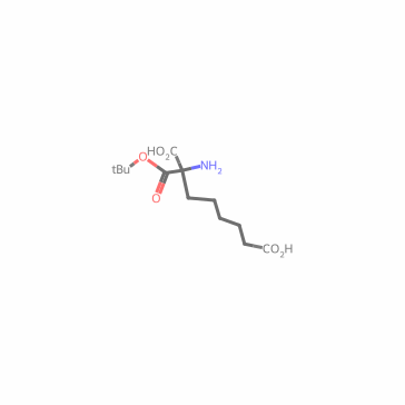 CC(C)(C)OC(=O)C(N)(CCCCCC(=O)O)C(=O)O